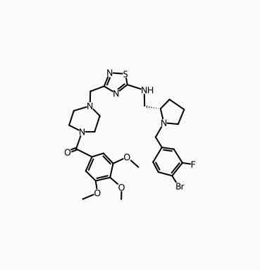 COc1cc(C(=O)N2CCN(Cc3nsc(NC[C@@H]4CCCN4Cc4ccc(Br)c(F)c4)n3)CC2)cc(OC)c1OC